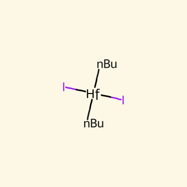 CCC[CH2][Hf]([I])([I])[CH2]CCC